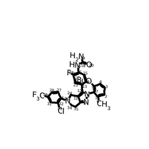 Cc1cccc(OCC(C)C)c1-n1nc2c(c1-c1ccc(NC(N)=O)c(F)c1)CN(c1ccc(C(F)(F)F)cc1Cl)CC2